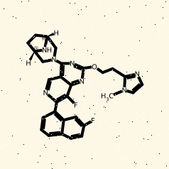 Cn1ccnc1CCOc1nc(N2C[C@H]3CC[C@@H](C2)N3)c2cnc(-c3cccc4ccc(F)cc34)c(F)c2n1